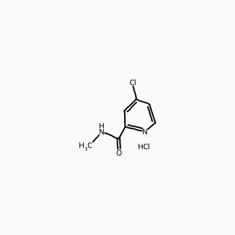 CNC(=O)c1cc(Cl)ccn1.Cl